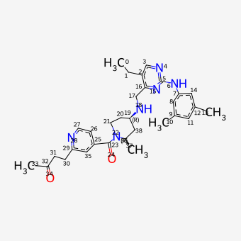 CCc1cnc(Nc2cc(C)cc(C)c2)nc1CN[C@@H]1CCN(C(=O)c2ccnc(CCC(C)=O)c2)[C@H](C)C1